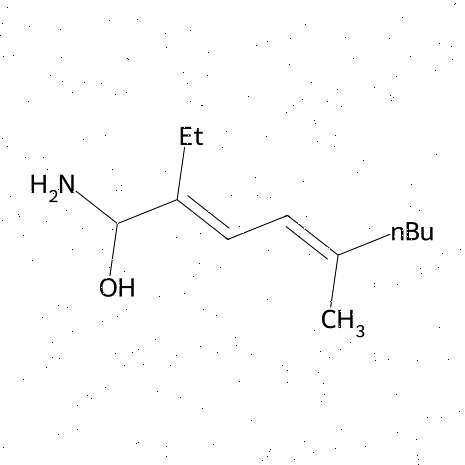 CCCC/C(C)=C/C=C(\CC)C(N)O